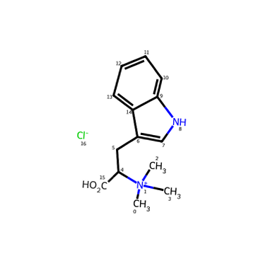 C[N+](C)(C)C(Cc1c[nH]c2ccccc12)C(=O)O.[Cl-]